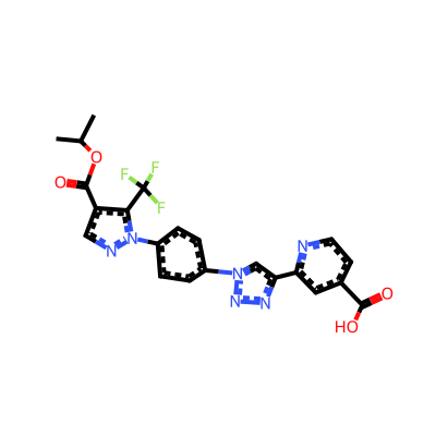 CC(C)OC(=O)c1cnn(-c2ccc(-n3cc(-c4cc(C(=O)O)ccn4)nn3)cc2)c1C(F)(F)F